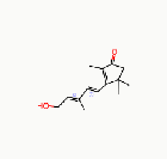 CC1=C(/C=C/C(C)=C/CO)C(C)(C)CC1=O